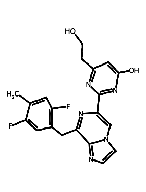 Cc1cc(F)c(Cc2nc(-c3nc(O)cc(CCO)n3)cn3ccnc23)cc1F